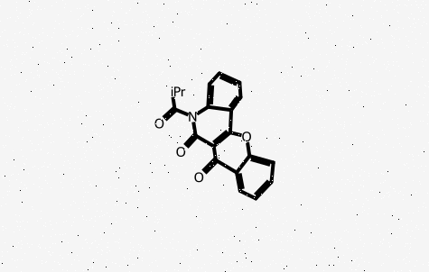 CC(C)C(=O)n1c(=O)c2c(=O)c3ccccc3oc2c2ccccc21